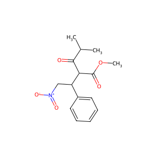 COC(=O)C(C(=O)C(C)C)C(C[N+](=O)[O-])c1ccccc1